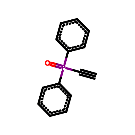 C#CP(=O)(c1ccccc1)c1ccccc1